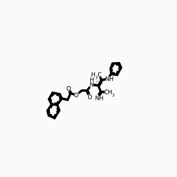 CC(=N)/C(NC(=O)COC(=O)Cc1cccc2ccccc12)=C(/C)Nc1ccccc1